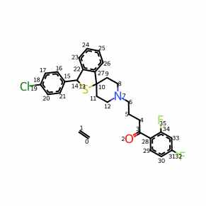 C=C.O=C(CCCN1CCC2(CC1)SC(c1ccc(Cl)cc1)c1ccccc12)c1ccc(F)cc1F